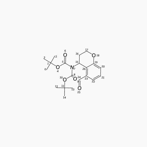 CC(C)(C)OC(=O)N(C(=O)OC(C)(C)C)C1CCOc2cccc(C=O)c21